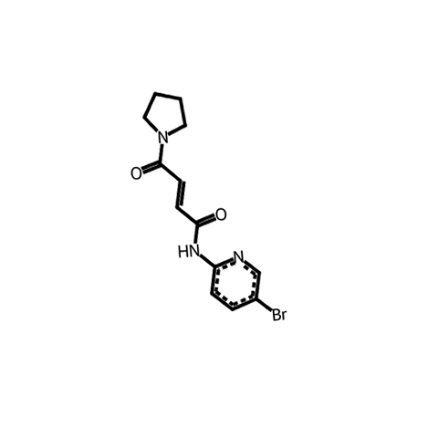 O=C(C=CC(=O)N1CCCC1)Nc1ccc(Br)cn1